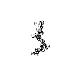 CC(C)(C)OC(=O)N(CCc1nc(C(=O)NCc2ccc(C(N)=O)nc2)cs1)Cc1nc2ccccc2n1CC(C)(C)OC(=O)N(CCc1nc(C(=O)NCc2ccc(C#N)nc2)cs1)Cc1nc2ccccc2[nH]1